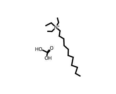 CCCCCCCCCCC[N+](CC)(CC)CC.O=C(O)O